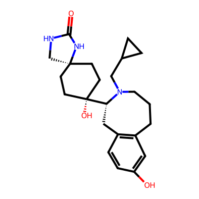 O=C1NC[C@]2(CC[C@](O)([C@H]3Cc4ccc(O)cc4CCCN3CC3CC3)CC2)N1